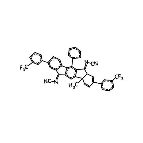 CC12C=CC(c3cccc(C(F)(F)F)c3)=CC1/C(=N\C#N)c1c2cc2c(c1-c1ccccc1)-c1ccc(-c3cccc(C(F)(F)F)c3)cc1/C2=N\C#N